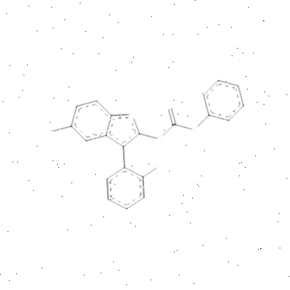 O=C(Nc1ccccc1)Nc1oc2ccc(Cl)cc2c1-c1ccccc1Cl